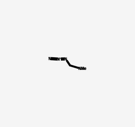 CNCN=[N+]=[N-]